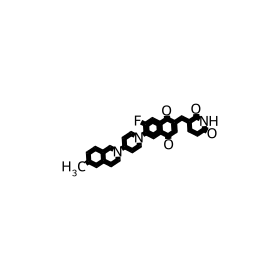 CC1CCC2CN(C3CCN(c4cc5c(cc4F)C(=O)C(CC4CCC(=O)NC4=O)=CC5=O)CC3)CCC2C1